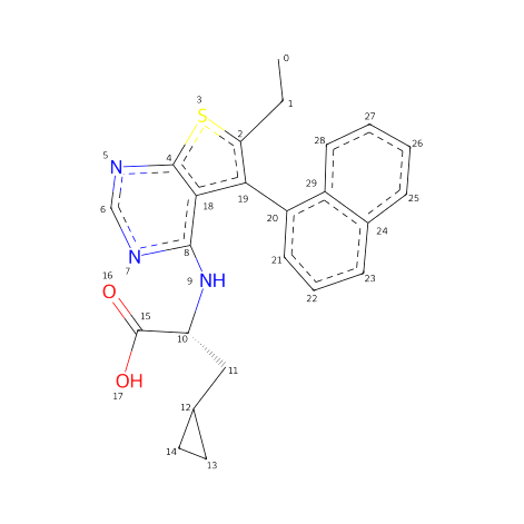 CCc1sc2ncnc(N[C@H](CC3CC3)C(=O)O)c2c1-c1cccc2ccccc12